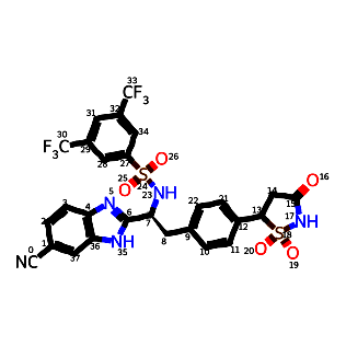 N#Cc1ccc2nc([C@H](Cc3ccc(C4CC(=O)NS4(=O)=O)cc3)NS(=O)(=O)c3cc(C(F)(F)F)cc(C(F)(F)F)c3)[nH]c2c1